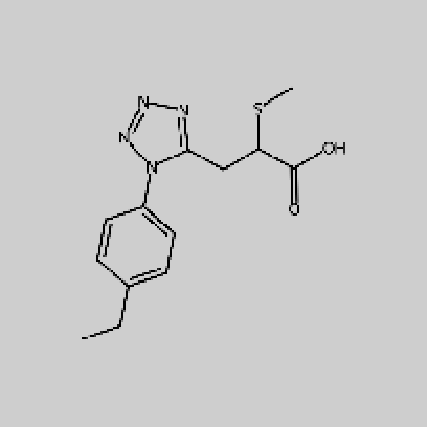 CCc1ccc(-n2nnnc2CC(SC)C(=O)O)cc1